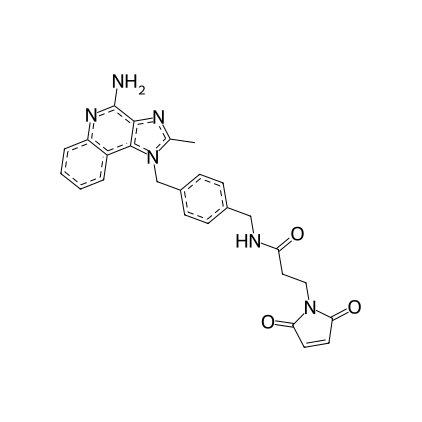 Cc1nc2c(N)nc3ccccc3c2n1Cc1ccc(CNC(=O)CCN2C(=O)C=CC2=O)cc1